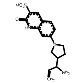 C=CC(N)C1CCN(c2ccc3cc(C(=O)O)c(=O)[nH]c3c2)C1